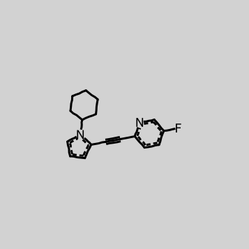 Fc1ccc(C#Cc2cccn2C2CCCCC2)nc1